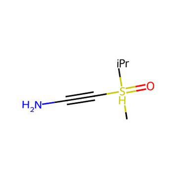 CC(C)[SH](C)(=O)C#CN